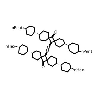 CCCCCC[C@H]1CC[C@H](C2CCC3(CC2)C(=O)C2(CCC([C@H]4CC[C@H](CCCCCC)CC4)CC2)C3=O)CC1.CCCCC[C@H]1CC[C@H](C2CCC3(CC2)C(=O)C2(CCC([C@H]4CC[C@H](CCCCC)CC4)CC2)C3=O)CC1